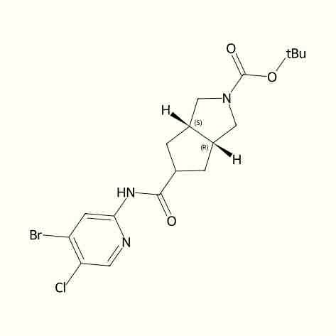 CC(C)(C)OC(=O)N1C[C@H]2CC(C(=O)Nc3cc(Br)c(Cl)cn3)C[C@H]2C1